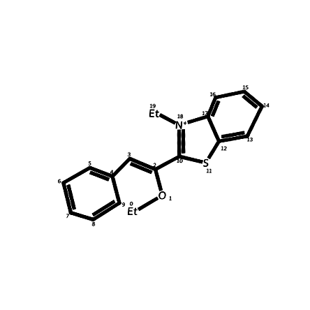 CCOC(=Cc1ccccc1)c1sc2ccccc2[n+]1CC